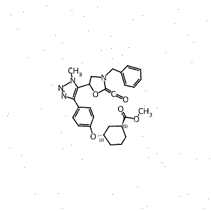 COC(=O)[C@H]1CCC[C@H](Oc2ccc(-c3nnn(C)c3C3CN(Cc4ccccc4)C(=C=O)O3)cc2)C1